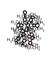 Cc1cc2c(cc1N1c3cc4c(cc3B3c5cc(C(C)(C)c6ccccc6)ccc5N(c5ccc6c(c5)C(C)(C)CCC6(C)C)c5cc(C(C)(C)CCC6(C)CCC(C)(C)c7cc8c(cc76)B6c7cc9c(cc7N(c7ccc(C(C)(C)C)cc7-c7ccccc7)c7cc(C(C)(C)C)cc(c76)N8c6cc7c(cc6C)C(C)(C)CC7(C)C)C(C)(C)CCC9(C)C)cc1c53)C(C)(C)CC4(C)C)C(C)(C)CCC2(C)C